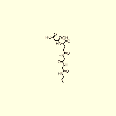 CCCNC(=O)CNC(=O)CNC(=O)CCC(NC(=O)CC(=O)O)C(=O)O